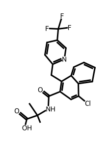 CC(C)(NC(=O)c1cc(Cl)c2ccccc2c1Cc1ccc(C(F)(F)F)cn1)C(=O)O